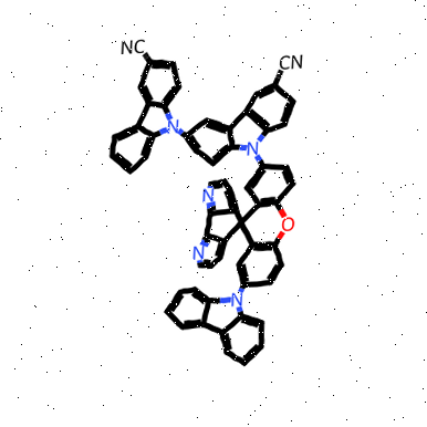 N#Cc1ccc2c(c1)c1ccccc1n2-c1ccc2c(c1)c1cc(C#N)ccc1n2-c1ccc2c(c1)C1(c3cc(-n4c5ccccc5c5ccccc54)ccc3O2)c2cccnc2-c2ncccc21